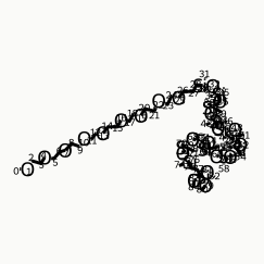 COCCOCCOCCOCCOCCOCCOCCOCCOCCC[Si](C)(C)O[Si](C)(C)O[Si](C)(C)O[Si](C)(C)O[Si](C)(C)O[Si](C)(C)O[Si](C)(C)O[Si](C)(C)O[Si](C)(C)O[Si](C)(C)O[Si](C)(C)O[Si](C)(C)CC[Si](OC)(OC)OC